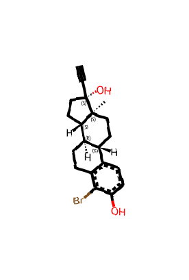 C#C[C@]1(O)CC[C@H]2[C@@H]3CCc4c(ccc(O)c4Br)[C@H]3CC[C@@]21C